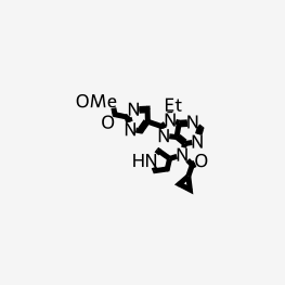 CCn1c(-c2cnc(C(=O)OC)nc2)nc2c(N(C(=O)C3CC3)C3CCNC3)ncnc21